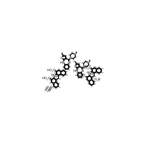 Cc1cc2c(s1)Nc1ccccc1N=C2N1CCN(C)CC1.Cc1cc2c(s1)Nc1ccccc1N=C2N1CCN(C)CC1.O.O.O.O.O=C(O)c1cc2ccccc2c(Cc2c(O)c(C(=O)O)cc3ccccc23)c1O.O=C(O)c1cc2ccccc2c(Cc2c(O)c(C(=O)O)cc3ccccc23)c1O